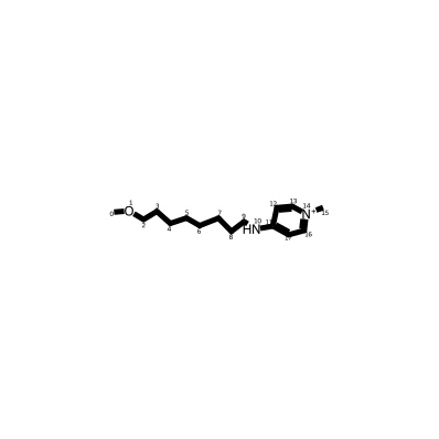 COCCCCCCCCNc1cc[n+](C)cc1